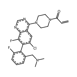 C=CC(=O)N1CCN(c2ncnc3c(F)c(-c4c(F)cccc4CN(C)C)c(Cl)cc23)CC1